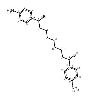 Nc1cc[n+](C(Br)CCCCCCCC(Br)[n+]2ccc(N)cc2)cc1